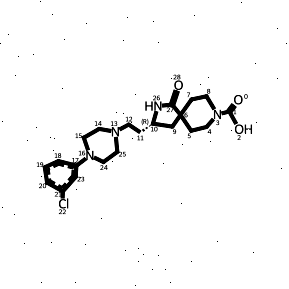 O=C(O)N1CCC2(CC1)C[C@H](CCN1CCN(c3cccc(Cl)c3)CC1)NC2=O